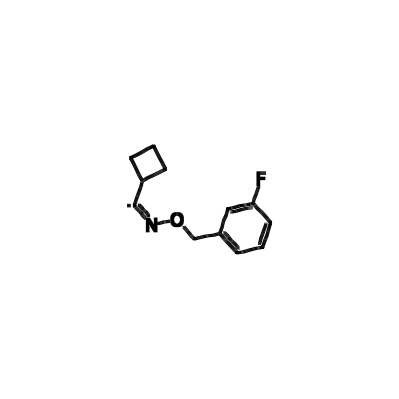 Fc1cccc(CO/N=[C]\C2CCC2)c1